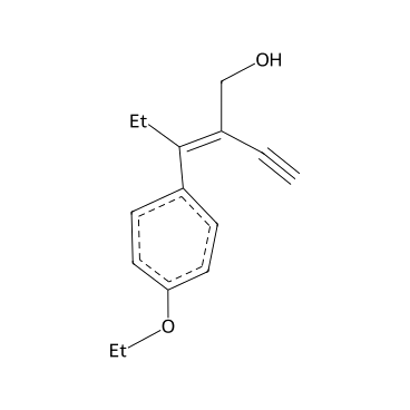 C#C/C(CO)=C(/CC)c1ccc(OCC)cc1